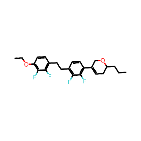 CCCC1CC=C(c2ccc(CCc3ccc(OCC)c(F)c3F)c(F)c2F)CO1